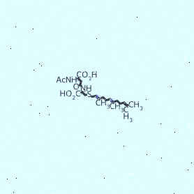 CC(=O)N[C@@H](CC(=O)N[C@@H](CSC/C=C(\C)CC/C=C(\C)CCC=C(C)C)C(=O)O)C(=O)O